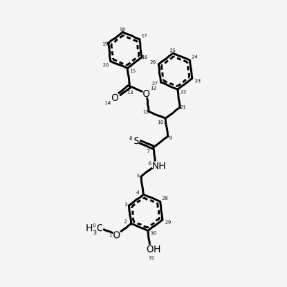 COc1cc(CNC(=S)CC(COC(=O)c2ccccc2)Cc2ccccc2)ccc1O